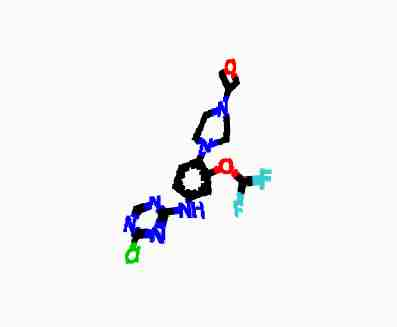 FC(F)Oc1cc(Nc2ncnc(Cl)n2)ccc1N1CCN(C2COC2)CC1